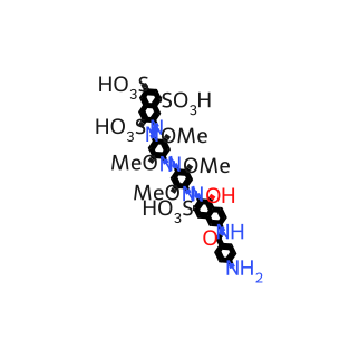 COc1cc(N=Nc2cc3c(S(=O)(=O)O)cc(S(=O)(=O)O)cc3cc2S(=O)(=O)O)c(OC)cc1N=Nc1cc(OC)c(N=Nc2c(S(=O)(=O)O)cc3cc(NC(=O)c4ccc(N)cc4)ccc3c2O)cc1OC